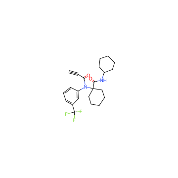 C#CC(=O)N(c1cccc(C(F)(F)F)c1)C1(C(=O)NC2CCCCC2)CCCCC1